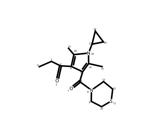 CCC(=O)c1c(C(=O)N2CCSCC2)c(C)n(C2CC2)c1C